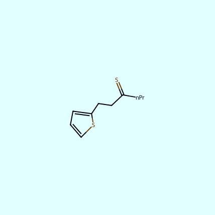 CCCC(=S)CCc1cccs1